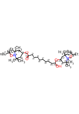 CCCCC(CC)ON1C(C)(C)CC(OC(=O)CCCCCCCCC(O)OC2CC(C)(C)N(OC(CC)CCCC)C(C)(C)C2)CC1(C)C